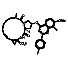 COc1ccc2c(O[C@@H]3C[C@H]4C(=O)NC5(C(=O)O)CC5/C=C\CCCCN(C)C(=O)N4C3)nc(-c3ccc(F)cc3)nc2c1C